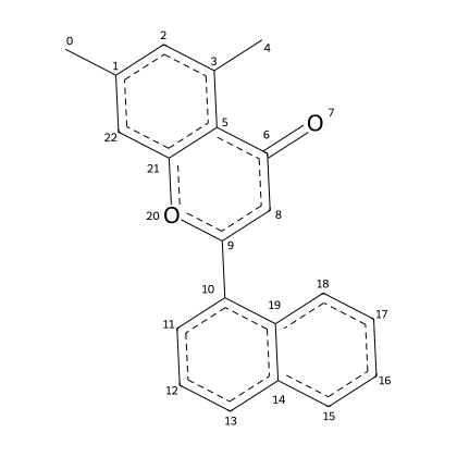 Cc1cc(C)c2c(=O)cc(-c3cccc4ccccc34)oc2c1